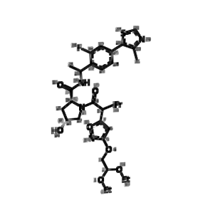 CCOC(COc1cc(C(C(=O)N2C[C@H](O)C[C@H]2C(=O)NC(C)c2ccc(-c3scnc3C)cc2F)C(C)C)on1)OCC